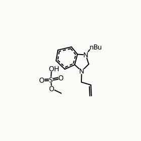 C=CCN1CN(CCCC)c2ccccc21.COS(=O)(=O)O